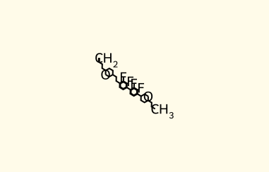 C=CCCC1CCC(CCc2ccc(-c3ccc(C4CCC(CCC)OC4)c(F)c3F)c(F)c2F)CO1